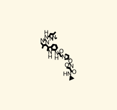 Cc1cnc(Nc2cc(C)n(C)n2)nc1-c1c[nH]c2c(NC(=O)CN3CC[C@H](Oc4nc(C(=O)NC5CC5)co4)C3)cccc12